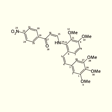 COc1cc(/C=C\c2ccc(OC)c(OC)c2N/C=C\C(=O)c2ccc([N+](=O)[O-])cc2)cc(OC)c1OC